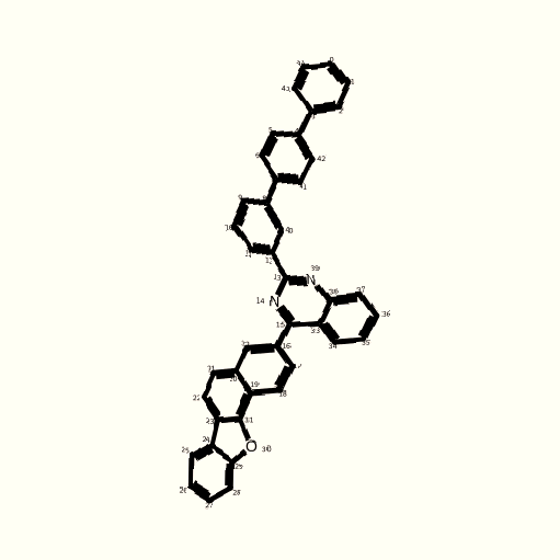 c1ccc(-c2ccc(-c3cccc(-c4nc(-c5ccc6c(ccc7c8ccccc8oc67)c5)c5ccccc5n4)c3)cc2)cc1